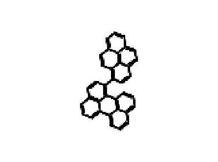 c1cc2ccc3ccc(-c4ccc5cccc6c7cccc8cccc(c4c56)c87)c4ccc(c1)c2c34